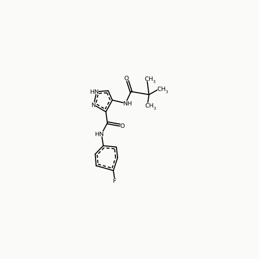 CC(C)(C)C(=O)Nc1c[nH]nc1C(=O)Nc1ccc(F)cc1